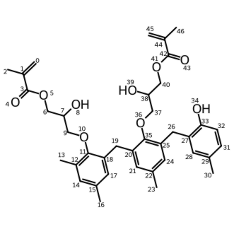 C=C(C)C(=O)OCC(O)COc1c(C)cc(C)cc1Cc1cc(C)cc(Cc2cc(C)ccc2O)c1OCC(O)COC(=O)C(=C)C